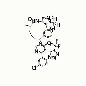 [2H]C([2H])([2H])n1ncc2c1-c1cc(ccn1)[C@@H](n1cnc(-c3cc(Cl)ccc3-n3cc(C(F)(F)F)nn3)cc1=O)CCC[C@@H](C)C(=O)N2